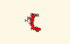 Cc1cc(CNC[C@H](O)c2ccc(O)c3[nH]c(=O)ccc23)ccc1OCCOC(=O)c1ccc(COc2cccc(CNC(=O)O[C@H]3CN4CCC3C(c3ccccc3)C4)c2)cc1